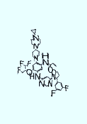 C=CC(=O)Nc1cc(Nc2cc(N3OCCC3c3cc(F)cc(F)c3)ncn2)c(OC(CF)C(F)F)cc1N1CCC(N2CCN(C3CC3)CC2)CC1